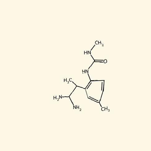 CNC(=O)Nc1ccc(C)cc1C(C)C(N)N